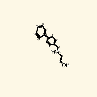 OCCNCc1ccc(-c2c[c]ccc2)cc1